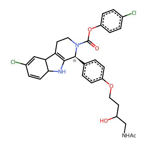 CC(=O)NCC(O)CCOc1ccc([C@H]2C3=C(CCN2C(=O)Oc2ccc(Cl)cc2)C2C=C(Cl)C=CC2N3)cc1